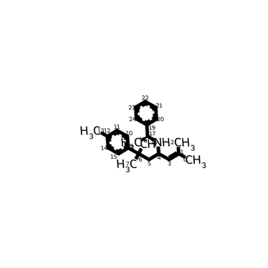 CC(C)=CC(CC(C)(C)c1ccc(C)cc1)N[C@@H](C)c1ccccc1